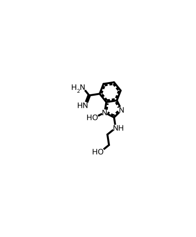 N=C(N)c1cccc2nc(NCCO)n(O)c12